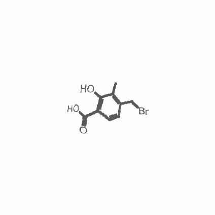 Cc1c(CBr)ccc(C(=O)O)c1O